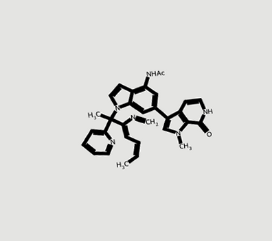 C=N/C(=C\C=C/C)C(C)(c1ccccn1)n1ccc2c(NC(C)=O)cc(-c3cn(C)c4c(=O)[nH]ccc34)cc21